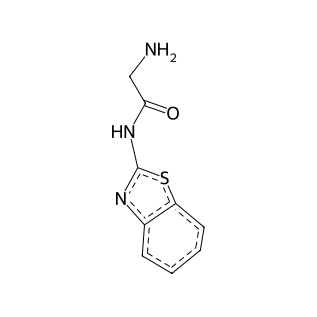 NCC(=O)Nc1nc2ccccc2s1